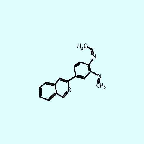 C=Nc1cc(-c2cc3ccccc3cn2)ccc1/N=C\C